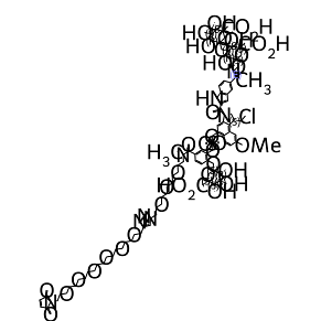 COc1ccc2c(OS(=O)(=O)Oc3cc(C(=O)N(C)CCOCCOCCOCCn4cc(COCCOCCOCCOCCOCCOCCN5C(=O)C=CC5=O)nn4)ccc3O[C@@H]3O[C@H](C(=O)O)[C@@H](O)[C@H](O)[C@H]3O)cc3c(c2c1)[C@H](CCl)CN3C(=O)c1cc2cc(/C(C)=N/O[C@@H]3O[C@H](C(=O)O)[C@@H](O)[C@H](OC4OC(C(=O)O)[C@@H](O)[C@H](O)[C@H]4O)[C@H]3O)ccc2[nH]1